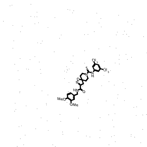 COc1ccc(CNC(=O)C2=NOC3(CCN(C(=S)Nc4cc(C(F)(F)F)cc(C(F)(F)F)c4)CC3)C2)cc1OC